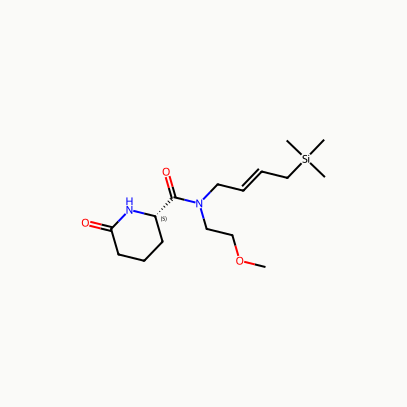 COCCN(CC=CC[Si](C)(C)C)C(=O)[C@@H]1CCCC(=O)N1